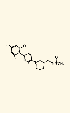 CC(=O)NC[C@H]1CCCN(c2ccc(-c3c(O)cc(Cl)cc3Cl)nn2)C1